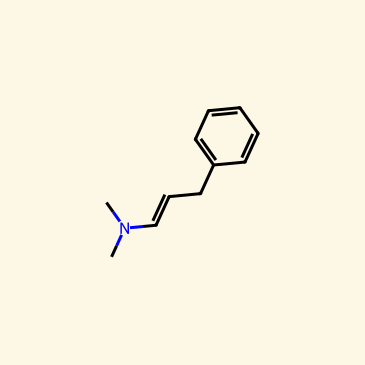 CN(C)/C=C/Cc1ccccc1